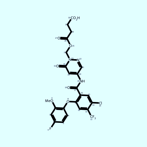 COc1cc(F)ccc1Oc1cc(C(F)(F)F)c(Cl)cc1C(=O)Nc1cnn(COC(=O)CCC(=O)O)c(=O)c1